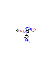 Cc1cc(-c2cc3c(N4CCOCC4)ncnc3n2COCC[Si](C)(C)C)ccc1N